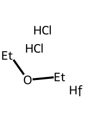 CCOCC.Cl.Cl.[Hf]